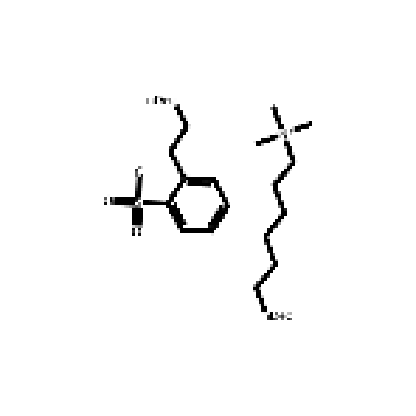 CCCCCCCCCCCCCCCC[N+](C)(C)C.CCCCCCCCCCCCc1ccccc1S(=O)(=O)[O-]